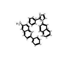 Nc1ccc2nc(-c3ccccc3)ccc2c1.c1ccc(-c2nccn2-c2ccc3ncccc3c2)cc1